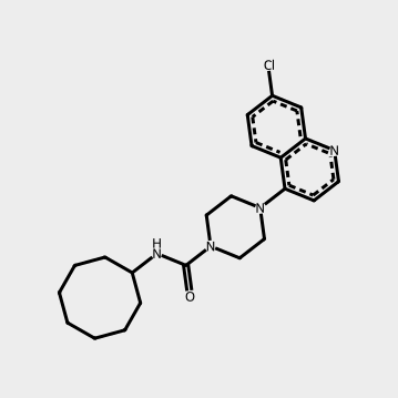 O=C(NC1CCCCCCC1)N1CCN(c2ccnc3cc(Cl)ccc23)CC1